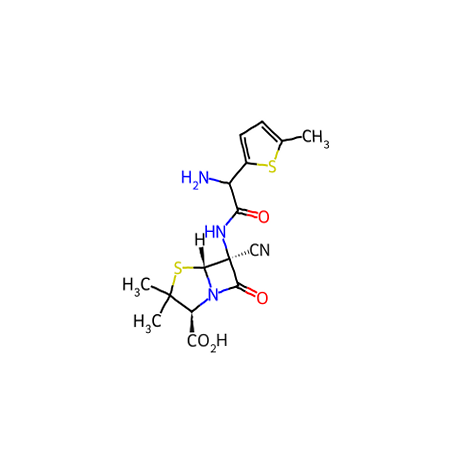 Cc1ccc(C(N)C(=O)N[C@@]2(C#N)C(=O)N3[C@@H](C(=O)O)C(C)(C)S[C@@H]32)s1